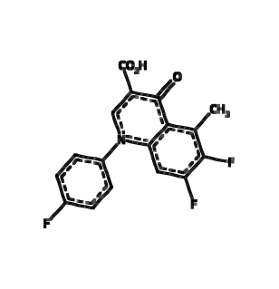 Cc1c(F)c(F)cc2c1c(=O)c(C(=O)O)cn2-c1ccc(F)cc1